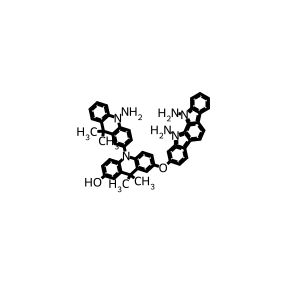 CC1(C)c2ccccc2N(N)c2ccc(N3c4ccc(O)cc4C(C)(C)c4cc(Oc5ccc6c7ccc8c9ccccc9n(N)c8c7n(N)c6c5)ccc43)cc21